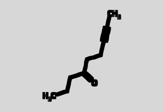 CC#CCCC(=O)CCC